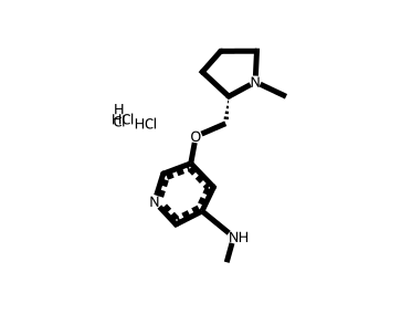 CNc1cncc(OC[C@@H]2CCCN2C)c1.Cl.Cl.Cl